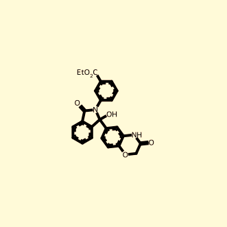 CCOC(=O)c1cccc(N2C(=O)c3ccccc3C2(O)c2ccc3c(c2)NC(=O)CO3)c1